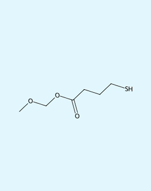 COCOC(=O)CCCS